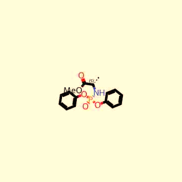 COC(=O)[C@H](C)NP(=O)(Oc1ccccc1)Oc1ccccc1